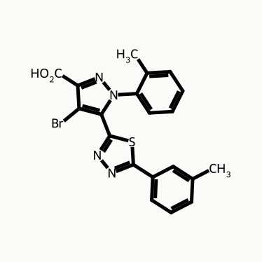 Cc1cccc(-c2nnc(-c3c(Br)c(C(=O)O)nn3-c3ccccc3C)s2)c1